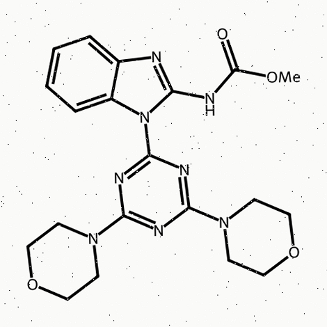 COC(=O)Nc1nc2ccccc2n1-c1nc(N2CCOCC2)nc(N2CCOCC2)n1